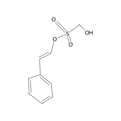 O=S(=O)(CO)OC=Cc1ccccc1